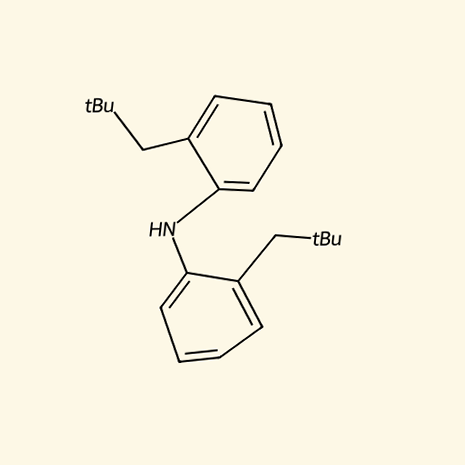 CC(C)(C)Cc1ccccc1Nc1ccccc1CC(C)(C)C